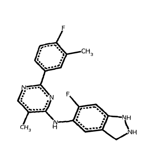 Cc1cc(-c2ncc(C)c(Nc3cc4c(cc3F)NNC4)n2)ccc1F